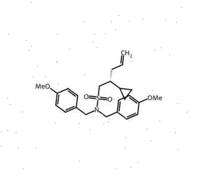 C=CC[C@@H](CS(=O)(=O)N(Cc1ccc(OC)cc1)Cc1ccc(OC)cc1)C1CC1